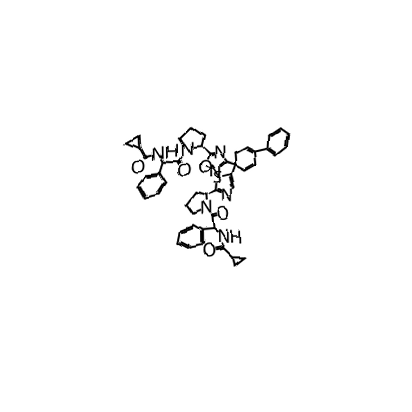 O=C(NC(C(=O)N1CCC[C@H]1c1nc(C2(c3cnc([C@@H]4CCCN4C(=O)C(NC(=O)C4CC4)c4ccccc4)s3)C=CC(c3ccccc3)=CC2)no1)c1ccccc1)C1CC1